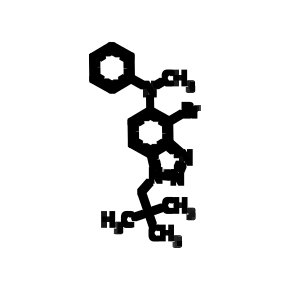 CN(c1ccccc1)c1ccc2c(nnn2CC(C)(C)C)c1Br